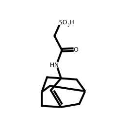 O=C(CS(=O)(=O)O)NC12C=C3CC(CC(C3)C1)C2